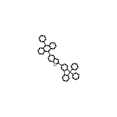 c1ccc(-c2c3ccccc3c(-c3ccc4oc(-c5ccc6c(c5)-c5ccccc5C6(c5ccccc5)c5ccccc5)cc4c3)c3ccccc23)cc1